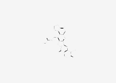 O=C(CO)NCc1c2c(nc3cc(Cl)c4c(c13)CCC4)-c1cc3c(c(=O)n1C2)COC(=O)C3O